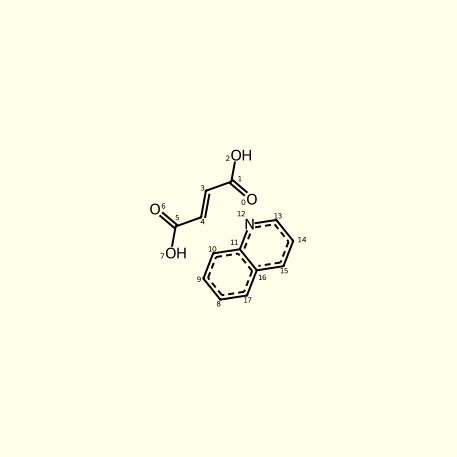 O=C(O)C=CC(=O)O.c1ccc2ncccc2c1